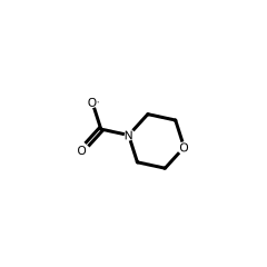 [O]C(=O)N1CCOCC1